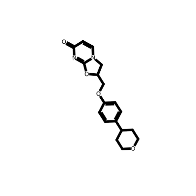 O=c1ccn2c(n1)OC(COc1ccc(C3CCOCC3)cc1)C2